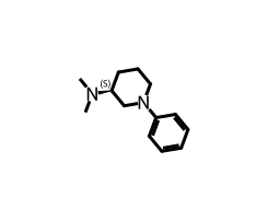 CN(C)[C@H]1CCCN(c2ccccc2)C1